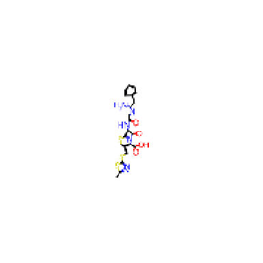 Cc1nnc(SCC2=C(C(=O)O)N3C(=O)C(NC(=O)CN=C(N)Cc4ccccc4)C3SC2)s1